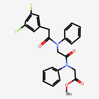 CC(C)(C)OC(=O)CN(C(=O)CN(C(=O)Cc1cc(F)cc(F)c1)c1ccccc1)c1ccccc1